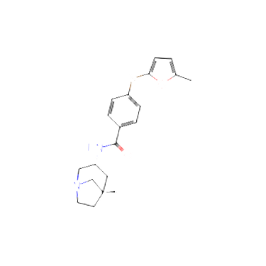 Cc1ccc(Sc2ccc(C(=O)N[C@@H]3C[C@@H]4CCN(C4)C3)cc2)o1